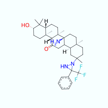 CC1(C)[C@@H](O)CC[C@]2(C)[C@H]3C(=O)CC4[C@@H]5CC(C)(N6NC6(c6ccccc6)C(F)(F)F)CC[C@]5(C)CC[C@@]4(N)[C@]3(C)CC[C@@H]12